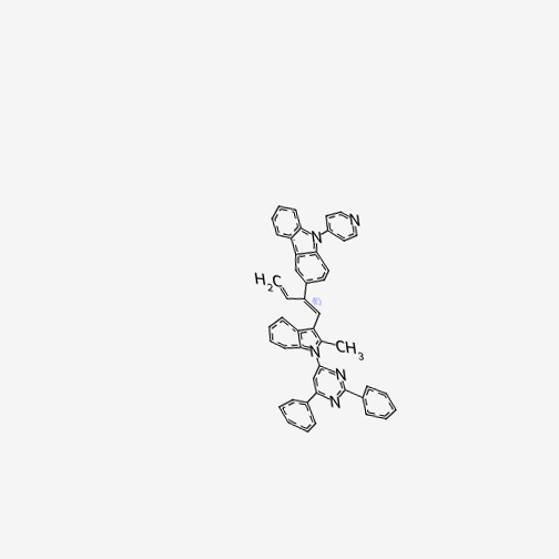 C=C/C(=C\c1c(C)n(-c2cc(-c3ccccc3)nc(-c3ccccc3)n2)c2ccccc12)c1ccc2c(c1)c1ccccc1n2-c1ccncc1